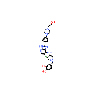 COc1cc(CN2CCC(Nc3c(Cl)cnc4[nH]c(-c5ccc(N6CCN(CCO)CC6)cc5)nc34)CC2)ccc1O